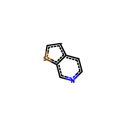 [c]1csc2cnccc12